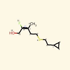 C/C(CCSCCC1CC1)=C(\F)CO